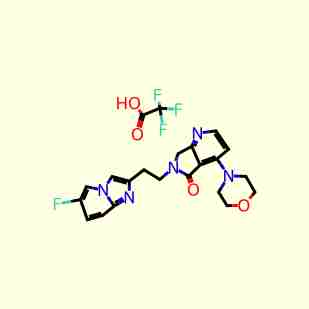 O=C(O)C(F)(F)F.O=C1c2c(N3CCOCC3)ccnc2CN1CCc1cn2cc(F)ccc2n1